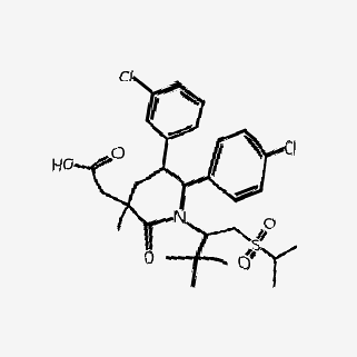 CC(C)S(=O)(=O)CC(N1C(=O)C(C)(CC(=O)O)CC(c2cccc(Cl)c2)C1c1ccc(Cl)cc1)C(C)(C)C